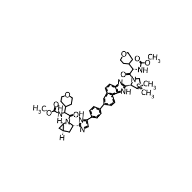 COC(=O)N[C@H](C(=O)N1C[Si](C)(C)C[C@H]1c1nc2ccc3cc(-c4ccc(-c5cnc([C@@H]6C[C@H]7C[C@H]7N6C(=O)[C@@H](NC(=O)OC)C6CCOCC6)[nH]5)cc4)ccc3c2[nH]1)C1CCOCC1